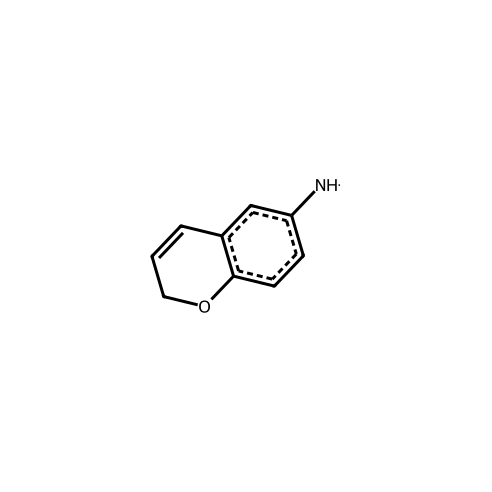 [NH]c1ccc2c(c1)C=CCO2